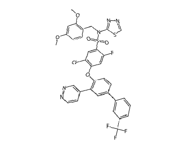 COc1ccc(CN(c2nncs2)S(=O)(=O)c2cc(Cl)c(Oc3ccc(-c4cccc(C(F)(F)F)c4)cc3-c3ccnnc3)cc2F)c(OC)c1